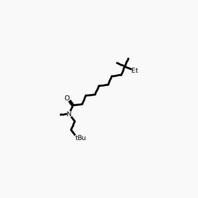 CCC(C)(C)CCCCCCCC(=O)N(C)CCC(C)(C)C